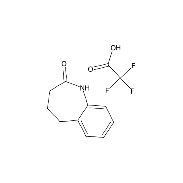 O=C(O)C(F)(F)F.O=C1CCCc2ccccc2N1